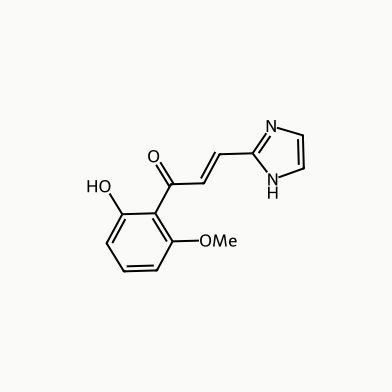 COc1cccc(O)c1C(=O)C=Cc1ncc[nH]1